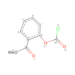 COC(=O)c1ccccc1OC(=O)Cl